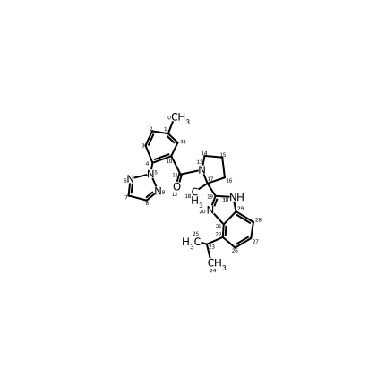 Cc1ccc(-n2nccn2)c(C(=O)N2CCCC2(C)c2nc3c(C(C)C)cccc3[nH]2)c1